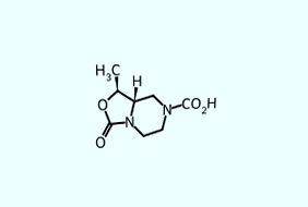 C[C@@H]1OC(=O)N2CCN(C(=O)O)C[C@@H]12